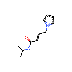 CC(C)NC(=O)/C=C/Cn1cccc1